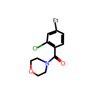 CCc1ccc(C(=O)N2CCOCC2)c(Cl)c1